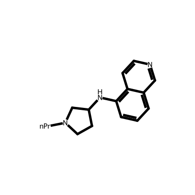 CCCN1CCC(Nc2cccc3cnccc23)C1